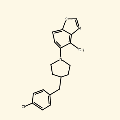 Oc1c(N2CCC(Cc3ccc(Cl)cc3)CC2)ccc2scnc12